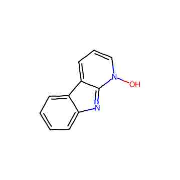 On1cccc2c3ccccc3nc1-2